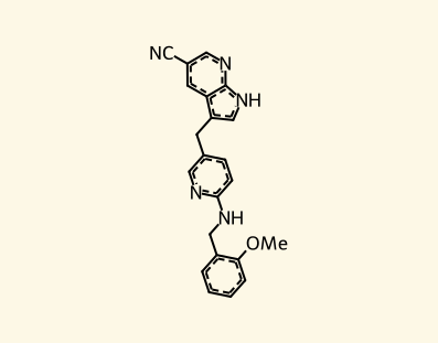 COc1ccccc1CNc1ccc(Cc2c[nH]c3ncc(C#N)cc23)cn1